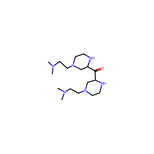 CN(C)CCN1CCNC(C(=O)C2CN(CCN(C)C)CCN2)C1